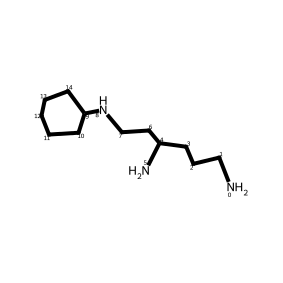 NCCCC(N)CCNC1CCCCC1